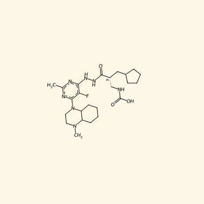 Cc1nc(NNC(=O)[C@@H](CNC(=O)O)CC2CCCC2)c(F)c(N2CCN(C)C3CCCCC32)n1